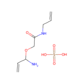 C=CCNC(=O)COC(N)C=C.O=S(=O)(O)O